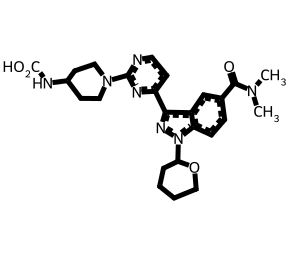 CN(C)C(=O)c1ccc2c(c1)c(-c1ccnc(N3CCC(NC(=O)O)CC3)n1)nn2C1CCCCO1